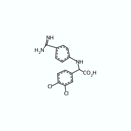 N=C(N)c1ccc(NC(C(=O)O)c2ccc(Cl)c(Cl)c2)cc1